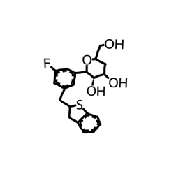 OCC1CC(O)[C@@H](O)C(c2cc(F)cc(CC3Cc4ccccc4S3)c2)O1